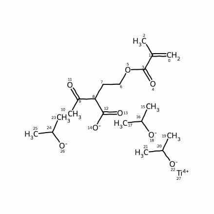 C=C(C)C(=O)OCCC(C(C)=O)C(=O)[O-].CC(C)[O-].CC(C)[O-].CC(C)[O-].[Ti+4]